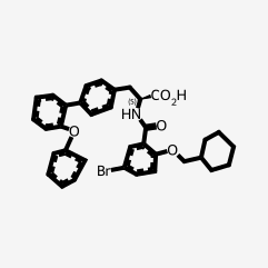 O=C(N[C@@H](Cc1ccc(-c2ccccc2Oc2ccccc2)cc1)C(=O)O)c1cc(Br)ccc1OCC1CCCCC1